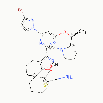 C[C@H](Oc1cc(-n2ccc(Br)n2)nc(-c2noc3c2CCC[C@@]32CCCc3sc(N)c(C#N)c32)n1)[C@@H]1CCCN1C